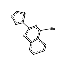 CC(C)(C)c1nc(-c2cscn2)nc2ccccc12